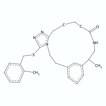 Cc1ccccc1CSc1nnc2n1CCc1cccc(c1)C(C)CNC(=O)CCCC2